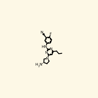 CCCc1cc(N2CC[C@H](N)C2)nc(Nc2ccc(F)c(C#N)c2)n1